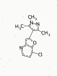 Cc1nn(C)c(C)c1-c1cc2nccc(Cl)c2o1